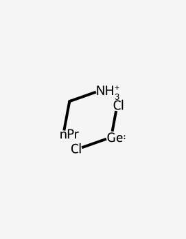 CCCC[NH3+].[Cl][Ge][Cl]